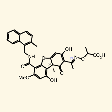 COc1cc(O)c2c(c1C(=O)NCc1c(C)ccc3ccccc13)OC1=CC(O)=C(/C(C)=N/OC(C)C(=O)O)C(=O)[C@]12C